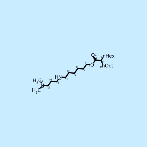 CCCCCCCCC(CCCCCC)C(=O)OCCCCCCNCCCN(C)C